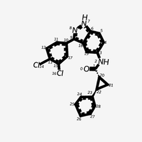 O=C(Nc1ccc2[nH]nc(-c3ccc(Cl)c(Cl)c3)c2c1)[C@@H]1C[C@H]1c1ccccc1